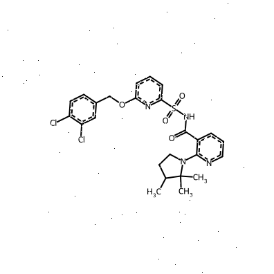 CC1CCN(c2ncccc2C(=O)NS(=O)(=O)c2cccc(OCc3ccc(Cl)c(Cl)c3)n2)C1(C)C